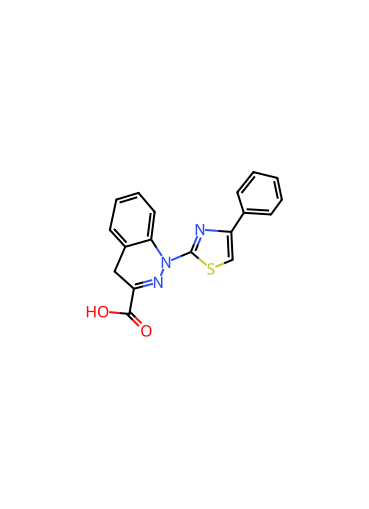 O=C(O)C1=NN(c2nc(-c3ccccc3)cs2)c2ccccc2C1